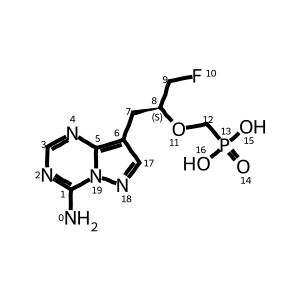 Nc1ncnc2c(C[C@@H](CF)OCP(=O)(O)O)cnn12